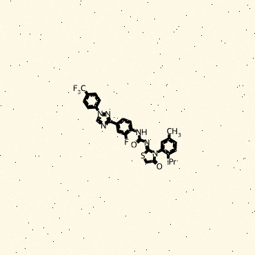 Cc1ccc(C(C)C)c(N2C(=O)CS/C2=N\C(=O)Nc2ccc(-c3ncn(-c4ccc(C(F)(F)F)cc4)n3)cc2F)c1